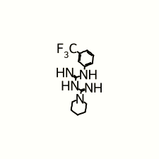 N=C(NC(=N)N1CCCCC1)Nc1cccc(C(F)(F)F)c1